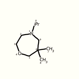 CC(C)N1CCOCC(C)(C)C1